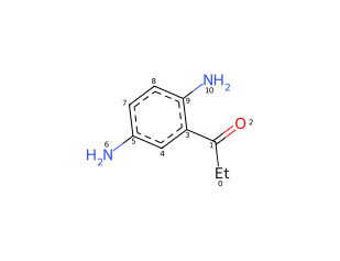 CCC(=O)c1cc(N)ccc1N